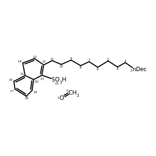 C=O.CCCCCCCCCCCCCCCCCCCc1ccc2ccccc2c1S(=O)(=O)O